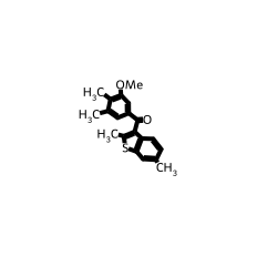 COc1cc(C(=O)c2c(C)sc3cc(C)ccc23)cc(C)c1C